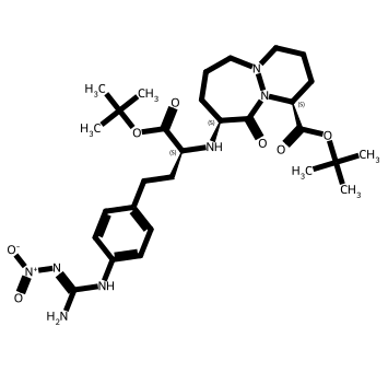 CC(C)(C)OC(=O)[C@H](CCc1ccc(NC(N)=N[N+](=O)[O-])cc1)N[C@H]1CCCN2CCC[C@@H](C(=O)OC(C)(C)C)N2C1=O